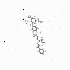 CCC(=O)N(CCC(=O)Nc1ccc(OC2OC(CO)C(O)C(O)C2N)cc1)CN(C)C(=O)c1ccccc1